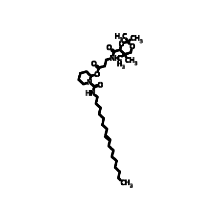 CCCCCCCCC=CCCCCCCCNC(=O)N1CCCCC1OC(=O)CCNC(=O)C1OC(C)(C)OCC1(C)C